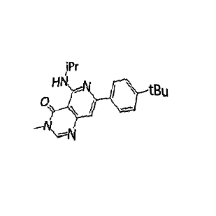 CC(C)Nc1nc(-c2ccc(C(C)(C)C)cc2)cc2ncn(C)c(=O)c12